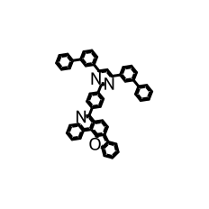 c1ccc(-c2cccc(-c3cc(-c4cccc(-c5ccccc5)c4)nc(-c4ccc(-c5nc6ccccc6c6c5ccc5c7ccccc7oc56)cc4)n3)c2)cc1